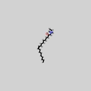 CCCCCCCC/C=C\CCCCCCCC(=O)C[N+](C)(C)CC